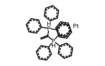 C=C([PH](c1ccccc1)(c1ccccc1)c1ccccc1)[PH](c1ccccc1)(c1ccccc1)c1ccccc1.[Pt]